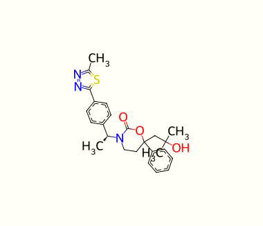 Cc1nnc(-c2ccc([C@H](C)N3CCC(CC(C)(C)O)(c4ccccc4)OC3=O)cc2)s1